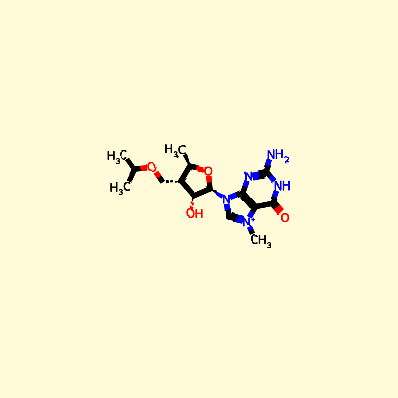 CC(C)OC[C@H]1[C@@H](O)[C@H](n2c[n+](C)c3c(=O)[nH]c(N)nc32)O[C@@H]1C